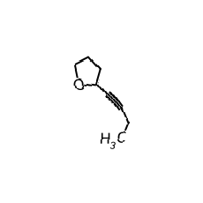 CCC#CC1CCCO1